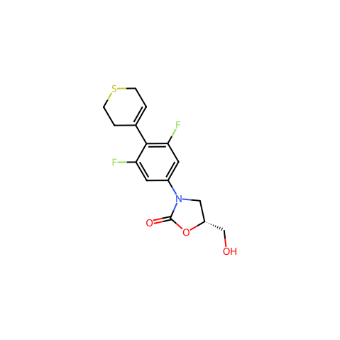 O=C1O[C@@H](CO)CN1c1cc(F)c(C2=CCSCC2)c(F)c1